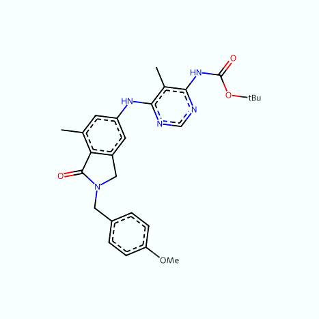 COc1ccc(CN2Cc3cc(Nc4ncnc(NC(=O)OC(C)(C)C)c4C)cc(C)c3C2=O)cc1